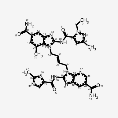 CCn1nc(C)cc1C(=O)Nc1nc2cc(C(N)=O)cc(C)c2n1C/C=C/Cn1c(NC(=O)c2cnc(C)s2)nc2cc(C(N)=O)cnc21